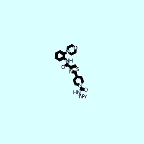 CCCNC(=O)N1CCC(c2nc(C(=O)Nc3ccccc3N3CCOCC3)cs2)CC1